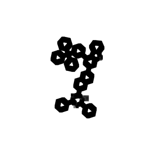 c1ccc(C2=NC(c3ccccc3)NC(c3ccc4cc(-c5cc(-c6cccc(C(c7ccccc7)(c7ccccc7)c7ccccc7)c6)c6c(c5)oc5ccccc56)ccc4c3)=N2)cc1